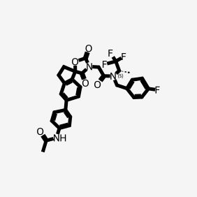 CC(=O)Nc1ccc(-c2ccc3c(c2)CCC32OC(=O)N(CC(=O)N(Cc3ccc(F)cc3)[C@@H](C)C(F)(F)F)C2=O)cc1